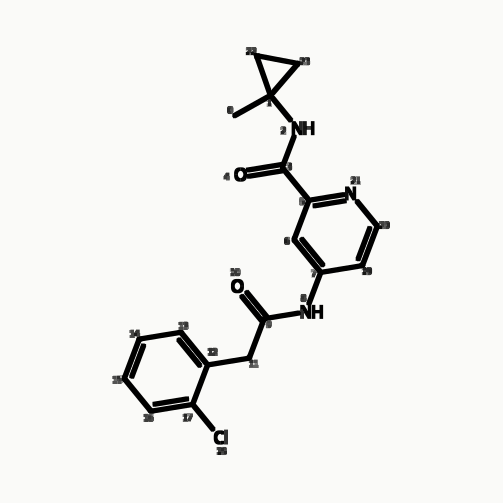 CC1(NC(=O)c2cc(NC(=O)Cc3ccccc3Cl)ccn2)CC1